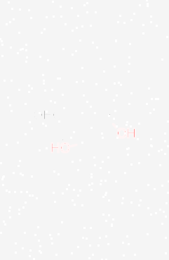 CC(O)C(CO)CC=O